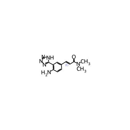 CN(C)C(=O)/C=C/c1ccc(N)c(-c2nnn[nH]2)c1